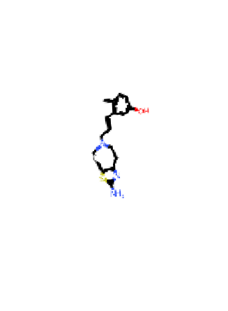 Cc1ccc(O)cc1/C=C/CN1CCc2nc(N)sc2CC1